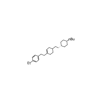 CCCC[C@H]1CC[C@H](CCC2CC=C(CCc3ccc(CC)cc3)CC2)CC1